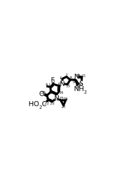 Cc1c(F)c(N2CCC(c3ncsc3N)C2)cc2c1c(=O)c(C(=O)O)cn2C1CC1